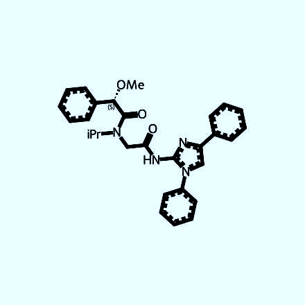 CO[C@H](C(=O)N(CC(=O)Nc1nc(-c2ccccc2)cn1-c1ccccc1)C(C)C)c1ccccc1